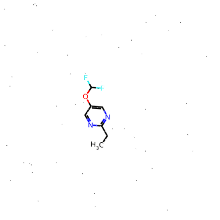 CCc1ncc(OC(F)F)cn1